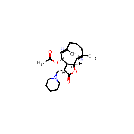 CC(=O)O[C@@H]1/C=C(\C)CCC/C(C)=C/[C@H]2OC(=O)[C@H](CN3CCCCC3)C12